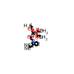 C=CC(=O)OCC(COC(=O)C=C)(COC(=O)C=C)COC(=O)CCn1cc(C=C(C#N)C#N)c2ccccc21